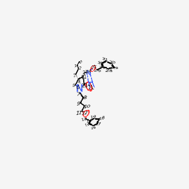 CCCC[C@H]1CN(CCCCCOCc2ccccc2)C(=O)[C@@H]1CNOCc1ccccc1